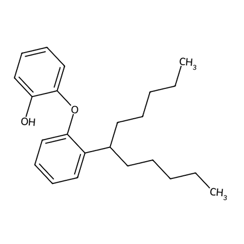 CCCCCC(CCCCC)c1ccccc1Oc1ccccc1O